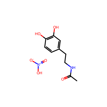 CC(=O)NCCc1ccc(O)c(O)c1.O=[N+]([O-])O